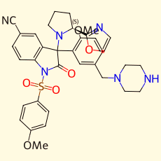 COc1ccc(S(=O)(=O)N2C(=O)C(c3cc(CN4CCNCC4)ccc3OC)(N3CCC[C@H]3c3ncco3)c3cc(C#N)ccc32)cc1